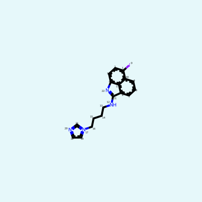 Ic1ccc2c3c(cccc13)C(NCCCCn1ccnc1)=N2